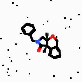 O=C1[C@@H]2c3ccccc3CO[C@@H]2CN1Cc1ccccc1